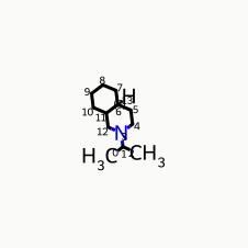 CC(C)N1CC[C@H]2CCCCC2C1